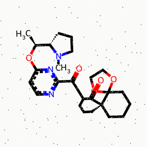 C[C@H](Oc1ccnc(C(=O)C2CCC[C@@]3(CCCCC34OCCO4)C2=O)n1)[C@@H]1CCCN1C